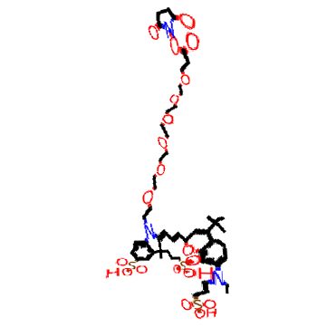 CCN(CCCS(=O)(=O)O)c1ccc2c(c1)OC(/C=C/C=C1/N(CCOCCOCCOCCOCCOCCOCCC(=O)ON3C(=O)CCC3=O)c3ccc(S(=O)(=O)O)cc3C1(C)CCCS(=O)(=O)O)C=C2C(C)(C)C